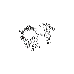 CC(=O)O[C@H]1C[C@@]2(C)[C@@H](C[C@@H](O)[C@H]3[C@@]4(C)CC[C@@H](O)[C@@H](C)[C@@H]4CC[C@@]32C)/C1=C(\CCC=C(C)C)C(=O)O.CO[C@H]1/C=C/O[C@@]2(C)Oc3c(C)c(O)c4c(O)c(c(/C=N/N5CCN(C)CC5)c(O)c4c3C2=O)NC(=O)/C(C)=C\C=C\[C@H](C)[C@H](O)[C@@H](C)[C@@H](O)[C@@H](C)[C@H](OC(C)=O)[C@@H]1C